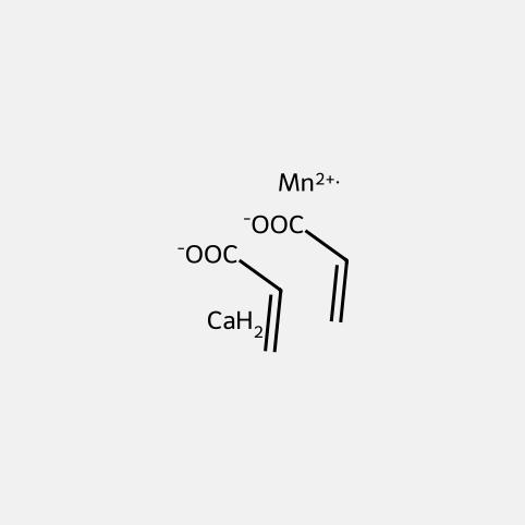 C=CC(=O)[O-].C=CC(=O)[O-].[CaH2].[Mn+2]